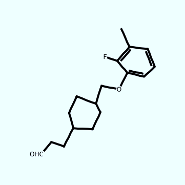 Cc1cccc(OCC2CCC(CCC=O)CC2)c1F